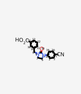 N#Cc1ccc(N2CCN(Cc3cccc(C(=O)O)c3)C2=O)cc1